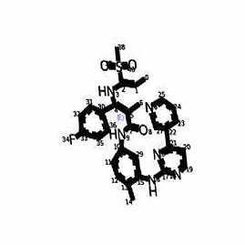 CC=C(N/C(=C(\C)C(=O)Nc1ccc(C)c(Nc2nccc(-c3cccnc3)n2)c1)c1ccc(F)cc1)S(C)(=O)=O